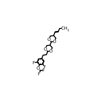 CC/C=C/C1COC(C2COC(CCc3cc(F)c(OC(F)F)c(F)c3)OC2)OC1